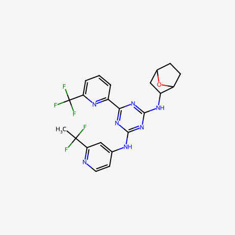 CC(F)(F)c1cc(Nc2nc(NC3CC4CCC3O4)nc(-c3cccc(C(F)(F)F)n3)n2)ccn1